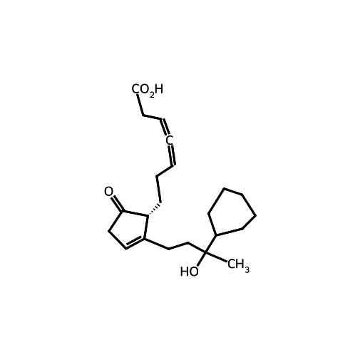 CC(O)(CCC1=CCC(=O)[C@@H]1CCC=C=CCC(=O)O)C1CCCCC1